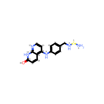 NSNCc1ccc(Nc2ccnc3[nH]c(=O)ccc23)cc1